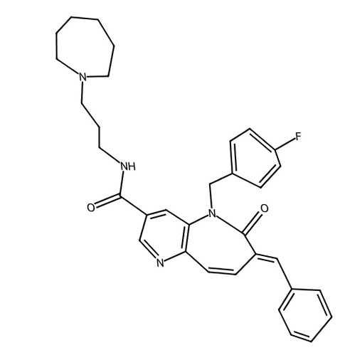 O=C(NCCCN1CCCCCC1)c1cnc2c(c1)N(Cc1ccc(F)cc1)C(=O)C(=Cc1ccccc1)C=C2